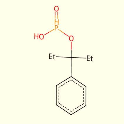 CCC(CC)(O[PH](=O)O)c1ccccc1